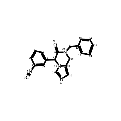 [C-]#[N+]c1cccc(C2C(=O)N(Cc3ccccc3)Cc3cncn32)c1